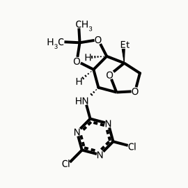 CC[C@@]12COC(O1)[C@H](Nc1nc(Cl)nc(Cl)n1)[C@H]1OC(C)(C)O[C@H]12